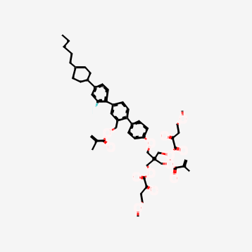 C=C(C)C(=O)OCc1cc(-c2ccc(C3CCC(CCCCC)CC3)cc2F)ccc1-c1ccc(OCC(COC(=O)C(=C)C)(COC(=O)C(=O)CCOC)COC(=O)C(=O)CCOC)cc1